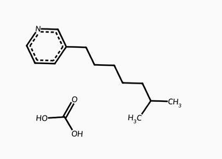 CC(C)CCCCCc1cccnc1.O=C(O)O